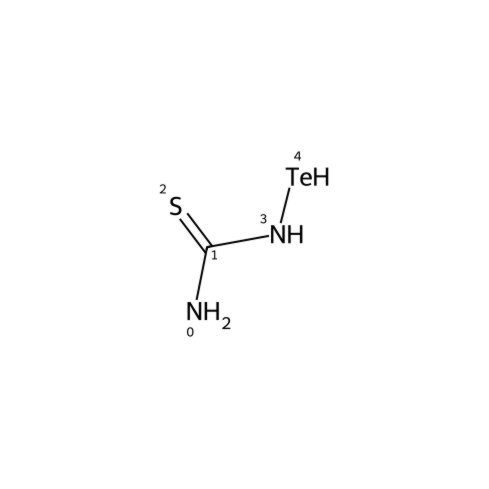 NC(=S)N[TeH]